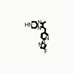 CC1=NC2(CCNCC2)N=C1Cc1ccc(-n2cc(F)cn2)nc1